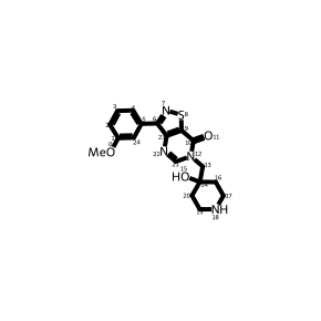 COc1cccc(-c2nsc3c(=O)n(CC4(O)CCNCC4)cnc23)c1